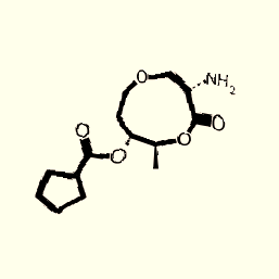 C[C@@H]1OC(=O)[C@@H](N)COCC[C@H]1OC(=O)C1CCCC1